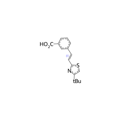 CC(C)(C)c1csc(/C=C/c2cccc(C(=O)O)c2)n1